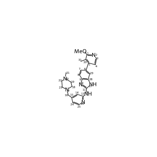 COc1nccc(-c2ccc3nc(Nc4cc(CN5CCN(C)CC5)ccn4)[nH]c3c2)c1C